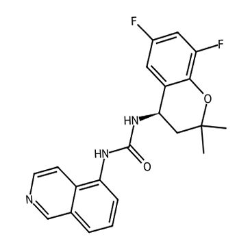 CC1(C)C[C@@H](NC(=O)Nc2cccc3cnccc23)c2cc(F)cc(F)c2O1